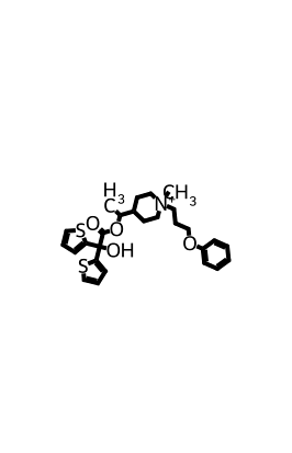 CC(OC(=O)C(O)(c1cccs1)c1cccs1)C1CC[N+](C)(CCCOc2ccccc2)CC1